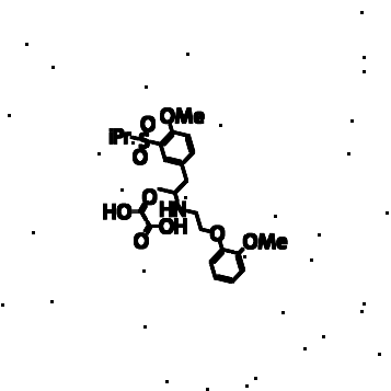 COc1ccccc1OCCNC(C)Cc1ccc(OC)c(S(=O)(=O)C(C)C)c1.O=C(O)C(=O)O